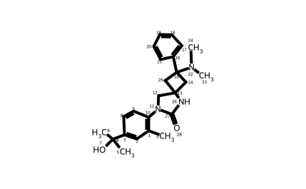 Cc1cc(C(C)(C)O)ccc1N1CC2(CC(c3ccccc3)(N(C)C)C2)NC1=O